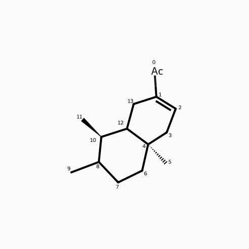 CC(=O)C1=CC[C@@]2(C)CCC(C)[C@@H](C)C2C1